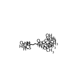 CC(=O)NC1(C)C(C)(O)[C@](C)(O)C(C)(CO)O[C@@]1(C)COC(=O)CCCCC1SC[C@@H]2NC(=O)N[C@H]12